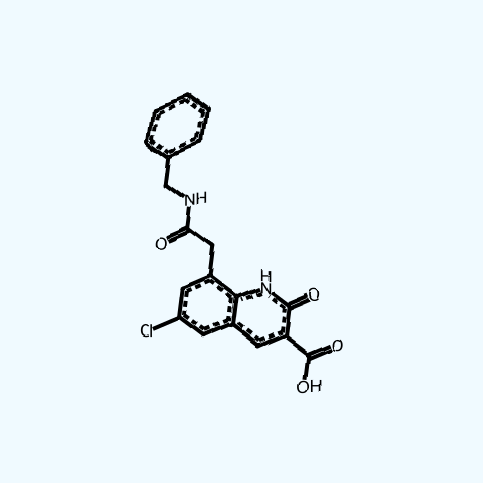 O=C(Cc1cc(Cl)cc2cc(C(=O)O)c(=O)[nH]c12)NCc1ccccc1